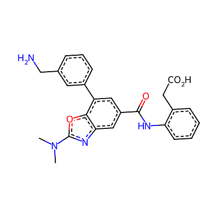 CN(C)c1nc2cc(C(=O)Nc3ccccc3CC(=O)O)cc(-c3cccc(CN)c3)c2o1